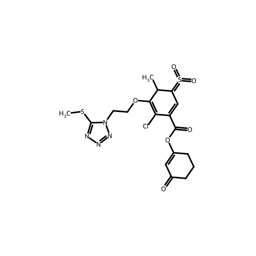 CSc1nnnn1CCOC1=C(Cl)C(C(=O)OC2=CC(=O)CCC2)=CC(=S(=O)=O)C1C